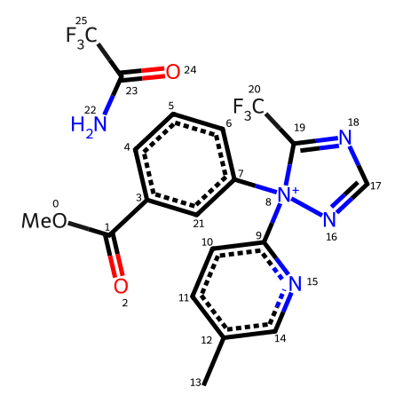 COC(=O)c1cccc([N+]2(c3ccc(C)cn3)N=CN=C2C(F)(F)F)c1.NC(=O)C(F)(F)F